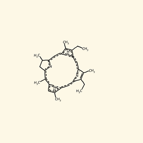 CCC1=C(C)c2cc3[nH]c(cc4nc(c(C)c5cc(C)c(cc1n2)[nH]5)CC4C)c(C)c3CC